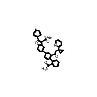 CNC(=O)c1c(-c2ccc(F)cc2)oc2ccc(-c3ccc(-c4ccccc4C(N)=O)c(C(=O)CC4(c5ccccn5)CC4)c3)cc12